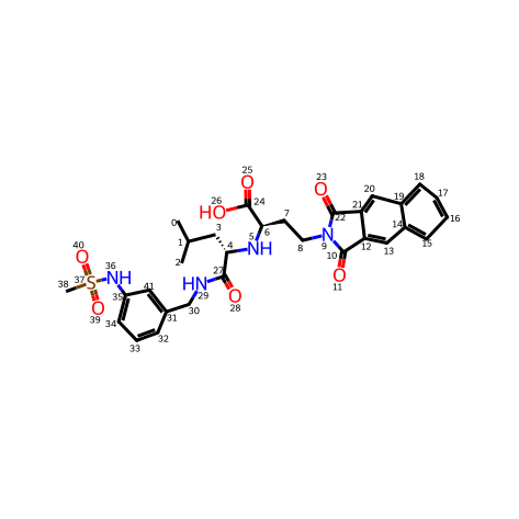 CC(C)C[C@H](N[C@H](CCN1C(=O)c2cc3ccccc3cc2C1=O)C(=O)O)C(=O)NCc1cccc(NS(C)(=O)=O)c1